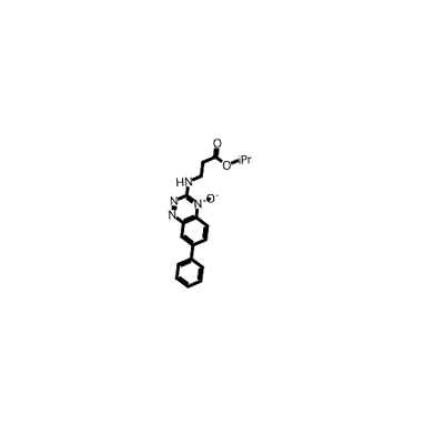 CC(C)OC(=O)CCNc1nnc2cc(-c3ccccc3)ccc2[n+]1[O-]